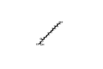 CCC(O)COC(=O)CCCCCCC/C=C/CCCCCCO